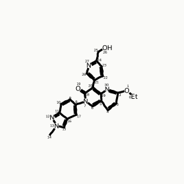 CCOc1ccc2cn(-c3ccc4nn(C)cc4c3)c(=O)c(-c3ccc(CO)nc3)c2n1